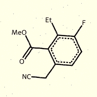 CCc1c(F)ccc(CC#N)c1C(=O)OC